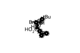 CC(C)(C)c1ccc(S(=O)(=O)Nc2ccc(Br)cc2C(=O)NC(Cc2ccc(-c3ccccc3Oc3ccccc3)cc2)C(=O)O)cc1